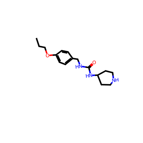 CCCOc1ccc(CNC(=O)NC2CCNCC2)cc1